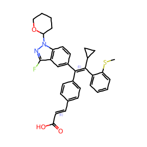 CSc1ccccc1/C(=C(\c1ccc(/C=C/C(=O)O)cc1)c1ccc2c(c1)c(F)nn2C1CCCCO1)C1CC1